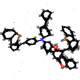 C1=CC2Sc3c(-c4ccc(N(c5ccc(-c6ccccc6)cc5)c5ccc6c(c5)oc5c(-c7cccc8c7sc7ccccc78)c7c(cc56)oc5ccccc57)cc4)cccc3C2C=C1